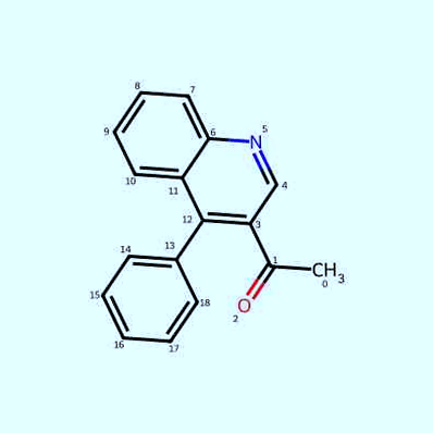 CC(=O)c1cnc2ccccc2c1-c1ccccc1